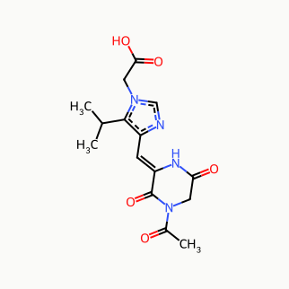 CC(=O)N1CC(=O)NC(=Cc2ncn(CC(=O)O)c2C(C)C)C1=O